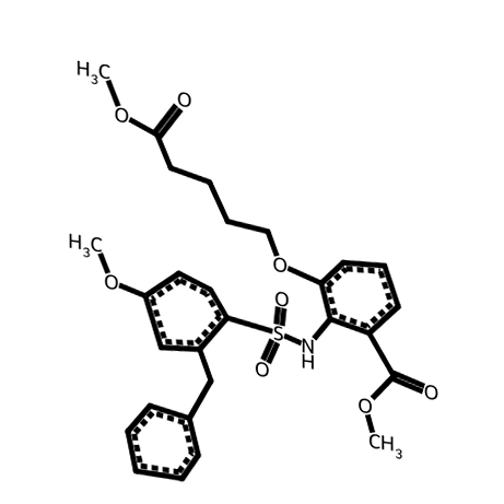 COC(=O)CCCCOc1cccc(C(=O)OC)c1NS(=O)(=O)c1ccc(OC)cc1Cc1ccccc1